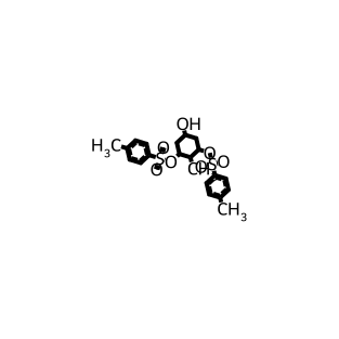 Cc1ccc(S(=O)(=O)OC2CC(O)CC(OS(=O)(=O)c3ccc(C)cc3)C2C)cc1